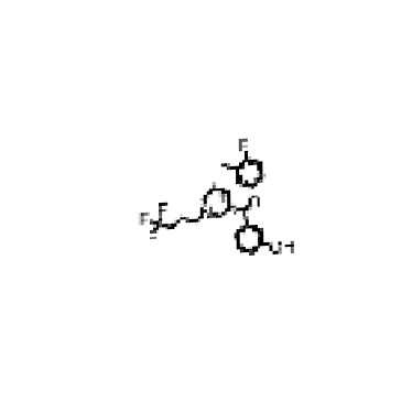 Cc1c(F)cccc1[C@H]1[CH]CN(CCCC(F)(F)F)C[C@@H]1C(=O)c1cccc(O)c1